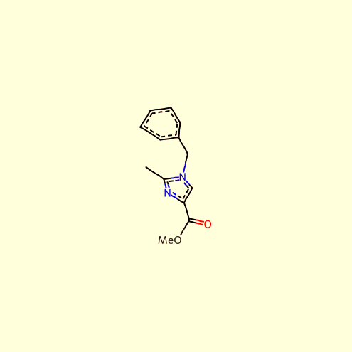 COC(=O)c1cn(Cc2ccccc2)c(C)n1